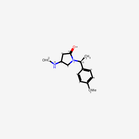 COc1ccc([C@H](C)N2CC(NC=O)CC2=O)cc1